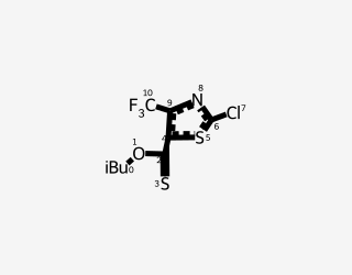 CCC(C)OC(=S)c1sc(Cl)nc1C(F)(F)F